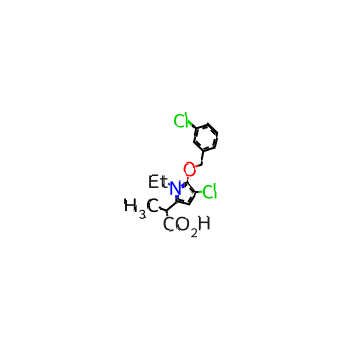 CCn1c(C(C)C(=O)O)cc(Cl)c1OCc1cccc(Cl)c1